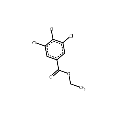 O=C(OCC(F)(F)F)c1cc(Cl)c(Cl)c(Cl)c1